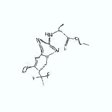 CCOC(=O)[C@H](C)Nc1nc2cc(Cl)c(C(F)(F)F)cn2n1